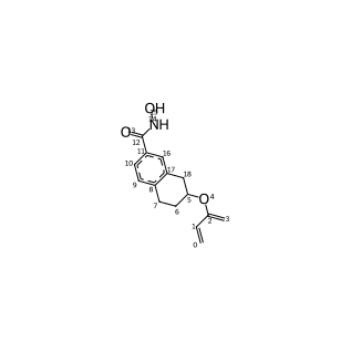 C=CC(=C)OC1CCc2ccc(C(=O)NO)cc2C1